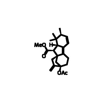 C=C1C[C@]23C[C@]1(OC(C)=O)CCC2=C1C=C[C@H](C)C(C)(C)[C@H]1[C@@H]3C(=O)OC